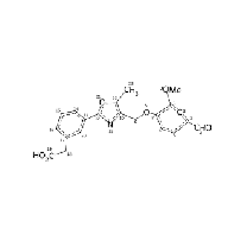 COc1cc(C=O)ccc1OCc1nc(-c2cccc(CC(=O)O)c2)oc1C